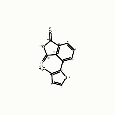 Cc1ccsc1-c1cccc2c1C(=O)OC2=O